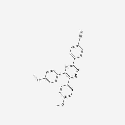 COc1ccc(-c2nnc(-c3ccc(C#N)cc3)nc2-c2ccc(OC)cc2)cc1